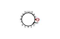 C/C1=C/CCCCCCCCCCCCCC1=O